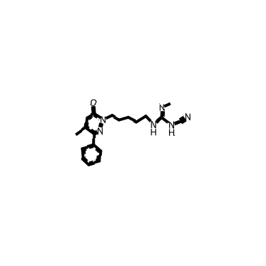 CN=C(NC#N)NCCCCCn1nc(-c2ccccc2)c(C)cc1=O